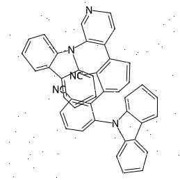 N#Cc1cccc(-n2c3ccccc3c3ccccc32)c1-c1cccc(-c2ccncc2-n2c3ccccc3c3ccccc32)c1C#N